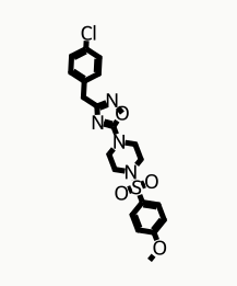 COc1ccc(S(=O)(=O)N2CCN(c3nc(Cc4ccc(Cl)cc4)no3)CC2)cc1